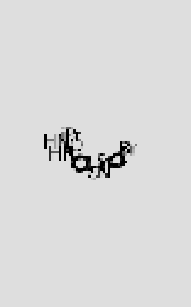 CC(C)NC(=O)Nc1ccc(Oc2nc3ccc(Br)cc3s2)cc1